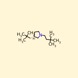 CC(C)(C)CCN1CC[C@@H](CC(C)(C)C)C1